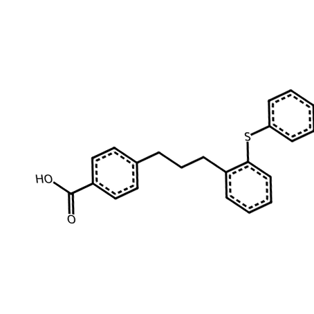 O=C(O)c1ccc(CCCc2ccccc2Sc2ccccc2)cc1